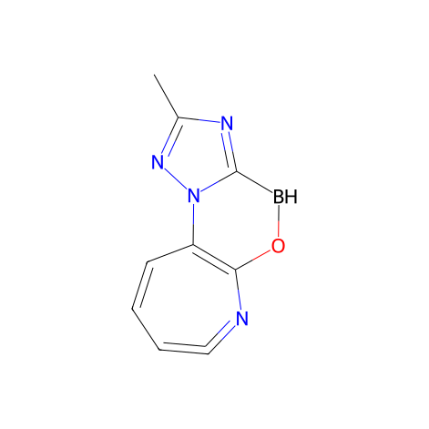 Cc1nc2n(n1)C1=C(N=C=CC=C1)OB2